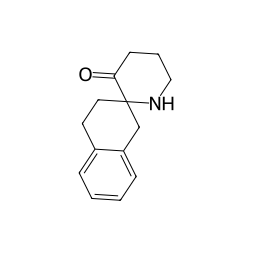 O=C1CCCNC12CCc1ccccc1C2